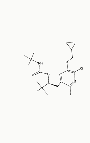 CC(C)(C)NC(=O)O[C@@H](Cc1cc(OCC2CC2)c(Cl)nc1I)C(C)(C)C